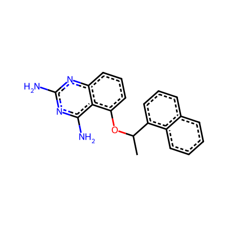 CC(Oc1cccc2nc(N)nc(N)c12)c1cccc2ccccc12